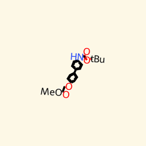 COC(=O)COc1ccc(-c2ccc(NC(=O)OC(C)(C)C)cc2)cc1